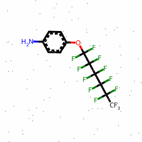 Nc1ccc(OC(F)(F)C(F)(F)C(F)(F)C(F)(F)C(F)(F)C(F)(F)F)cc1